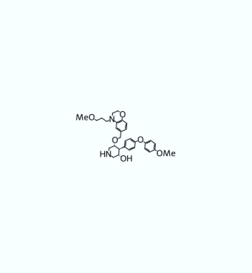 COCCCN1CCOc2ccc(CO[C@H]3CNC[C@@H](O)[C@@H]3c3ccc(Oc4ccc(OC)cc4)cc3)cc21